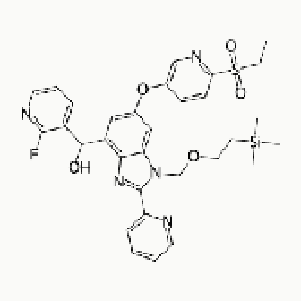 CCS(=O)(=O)c1ccc(Oc2cc(C(O)c3cccnc3F)c3nc(-c4ccccn4)n(COCC[Si](C)(C)C)c3c2)cn1